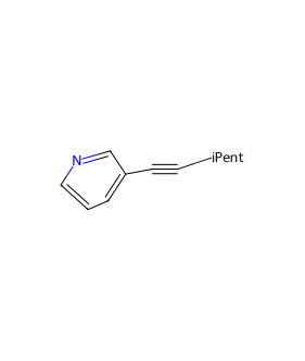 CCCC(C)C#Cc1cccnc1